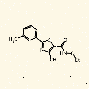 CCONC(=O)c1sc(-c2cccc(C)c2)nc1C